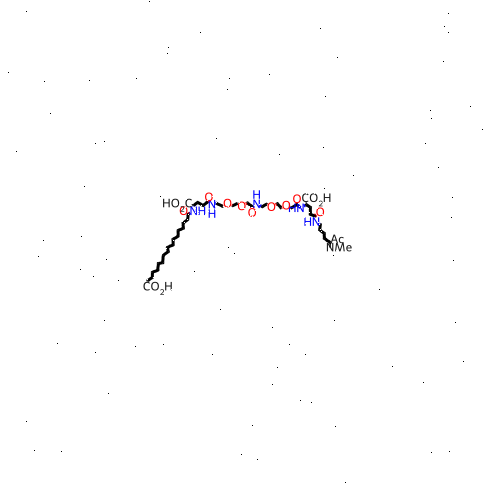 CN[C@@H](CCCCNC(=O)CC[C@H](NC(=O)COCCOCCNC(=O)COCCOCCNC(=O)CC[C@H](NC(=O)CCCCCCCCCCCCCCCCC(=O)O)C(=O)O)C(=O)O)C(C)=O